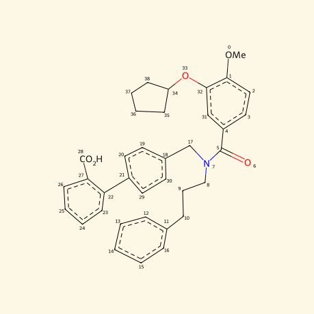 COc1ccc(C(=O)N(CCCc2ccccc2)Cc2ccc(-c3ccccc3C(=O)O)cc2)cc1OC1CCCC1